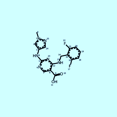 Cn1cc(Nc2ncc(C(=O)O)c(NCc3c(F)cccc3F)n2)cn1